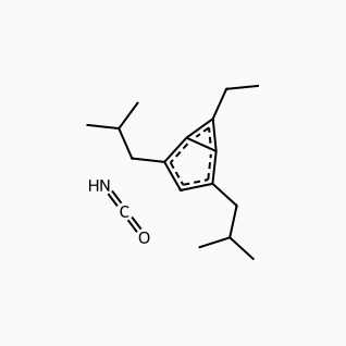 CCc1c2c(CC(C)C)cc(CC(C)C)c1-2.N=C=O